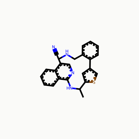 CNCc1ccccc1-c1csc(C(C)Nc2ncc(C#N)c3ccccc23)c1